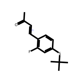 CC(=O)/C=C/c1ccc(SC(C)(C)C)cc1F